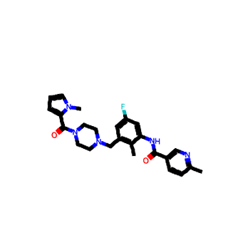 Cc1ccc(C(=O)Nc2cc(F)cc(CN3CCN(C(=O)c4cccn4C)CC3)c2C)cn1